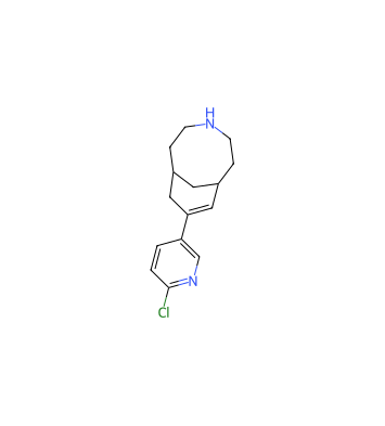 Clc1ccc(C2=CC3CCNCCC(C2)C3)cn1